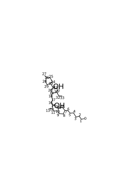 CCCCCCCC1CCC(CC(C)C(O)CCCC(CC(O)C2CCC(C)CC2)C(C)CC)CC1